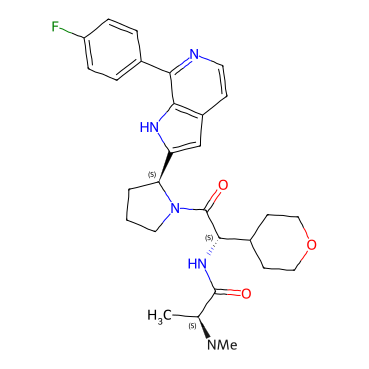 CN[C@@H](C)C(=O)N[C@H](C(=O)N1CCC[C@H]1c1cc2ccnc(-c3ccc(F)cc3)c2[nH]1)C1CCOCC1